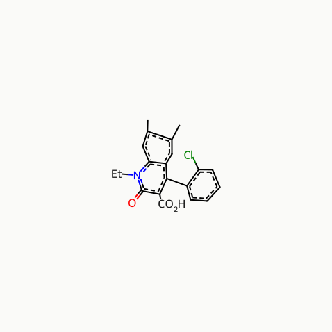 CCn1c(=O)c(C(=O)O)c(-c2ccccc2Cl)c2cc(C)c(C)cc21